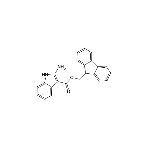 Nc1[nH]c2ccccc2c1C(=O)OCC1c2ccccc2-c2ccccc21